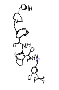 O=C(Nc1sc2c(c1C(=O)N/N=C\c1ccc(Cl)c(C(F)(F)F)c1)CCC2)c1cccc(CN2CCC(CO)CC2)c1